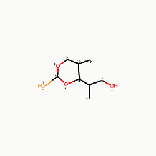 CC(CO)C1OC(P)OCC1C